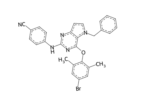 Cc1cc(Br)cc(C)c1Oc1nc(Nc2ccc(C#N)cc2)nc2ccn(Cc3ccccc3)c12